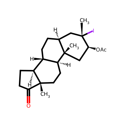 CC(=O)O[C@H]1C[C@@]2(C)[C@@H](CC[C@@H]3[C@@H]2CC[C@]2(C)C(=O)CC[C@@H]32)C[C@]1(C)I